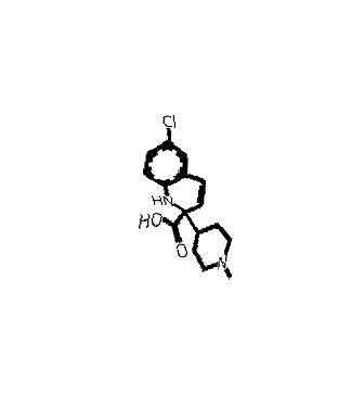 CN1CCC(C2(C(=O)O)C=Cc3cc(Cl)ccc3N2)CC1